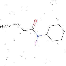 CCCCCCCCCC(=O)N(I)C1CCCCC1